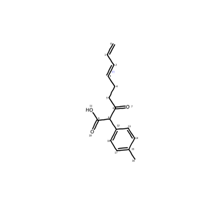 C=C/C=C/CCC(=O)C(C(=O)O)c1ccc(C)cc1